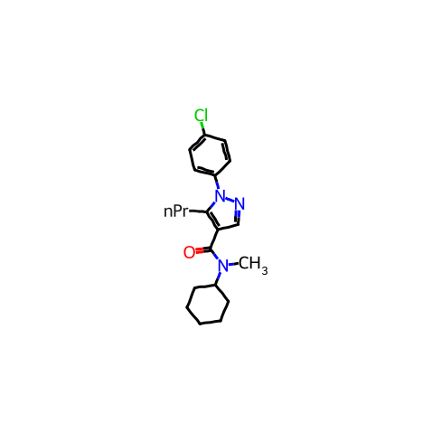 CCCc1c(C(=O)N(C)C2CCCCC2)cnn1-c1ccc(Cl)cc1